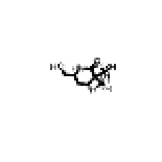 [2H]C([2H])([2H])C1(C([2H])([2H])[2H])CCC(CO)NC1=O